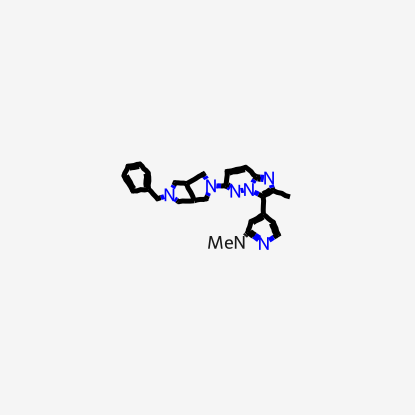 CNc1cc(-c2c(C)nc3ccc(N4CC5CN(Cc6ccccc6)CC5C4)nn23)ccn1